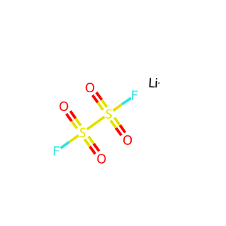 O=S(=O)(F)S(=O)(=O)F.[Li]